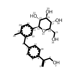 C=C(CO)c1ccc(Cc2cc([C@@H]3O[C@H](CO)[C@@H](O)[C@H](O)[C@H]3O)ccc2C)cc1